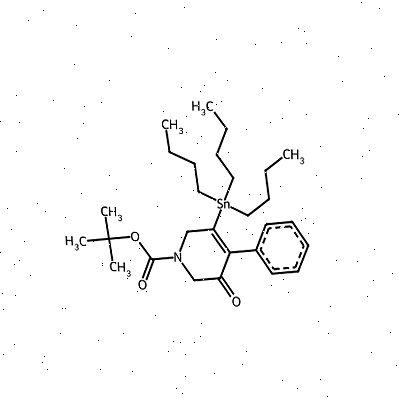 CCC[CH2][Sn]([CH2]CCC)([CH2]CCC)[C]1=C(c2ccccc2)C(=O)CN(C(=O)OC(C)(C)C)C1